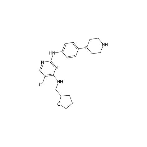 Clc1cnc(Nc2ccc(N3CCNCC3)cc2)nc1NCC1CCCO1